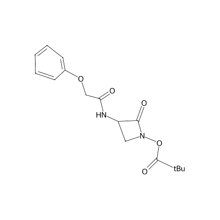 CC(C)(C)C(=O)ON1CC(NC(=O)COc2ccccc2)C1=O